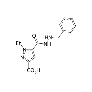 CCn1nc(C(=O)O)cc1C(=O)NNCc1ccccc1